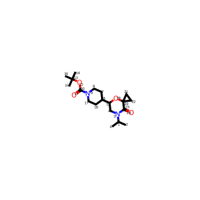 CC(C)N1CC(C2CCN(C(=O)OC(C)(C)C)CC2)OC2(CC2)C1=O